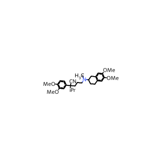 COc1ccc(C(C#N)(CCCN(C)C2CCc3cc(OC)c(OC)cc3C2)C(C)C)cc1OC